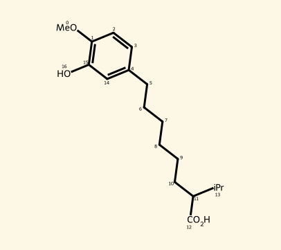 COc1ccc(CCCCCCC(C(=O)O)C(C)C)cc1O